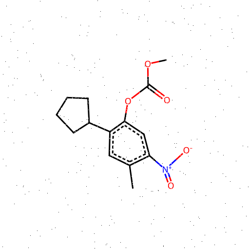 COC(=O)Oc1cc([N+](=O)[O-])c(C)cc1C1CCCC1